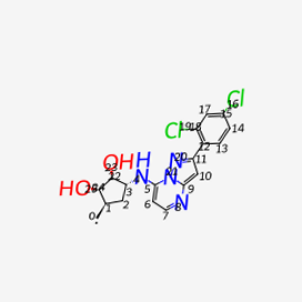 [CH2][C@@H]1C[C@@H](Nc2ccnc3cc(-c4ccc(Cl)cc4Cl)nn23)[C@H](O)[C@@H]1O